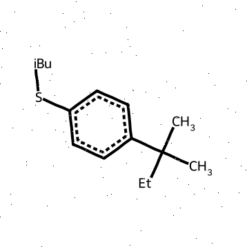 CCC(C)Sc1ccc(C(C)(C)CC)cc1